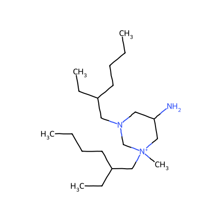 CCCCC(CC)CN1CC(N)C[N+](C)(CC(CC)CCCC)C1